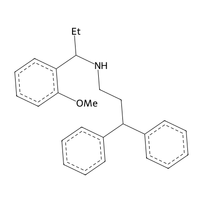 CCC(NCCC(c1ccccc1)c1ccccc1)c1ccccc1OC